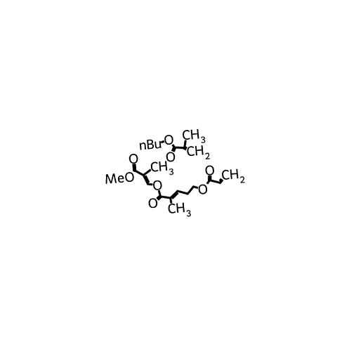 C=C(C)C(=O)OCCCC.C=CC(=O)OCCC=C(C)C(=O)OC=C(C)C(=O)OC